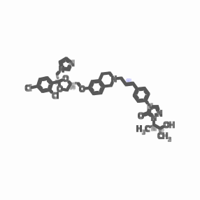 C[C@@H](O)[C@H](C)n1ncn(-c2ccc(/C=C/CN3CCc4cc(OC[C@@H]5CO[C@@](Cn6ccnc6)(c6ccc(Cl)cc6Cl)O5)ccc4C3)cc2)c1=O